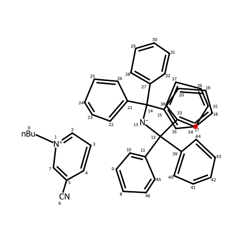 CCCC[n+]1cccc(C#N)c1.c1ccc(C([N-]C(c2ccccc2)(c2ccccc2)c2ccccc2)(c2ccccc2)c2ccccc2)cc1